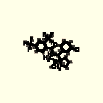 CN(C)C1(C(NC(=O)c2ccc(C(F)(F)F)cc2C(F)(F)F)c2cccc(Cl)c2)CCCC1